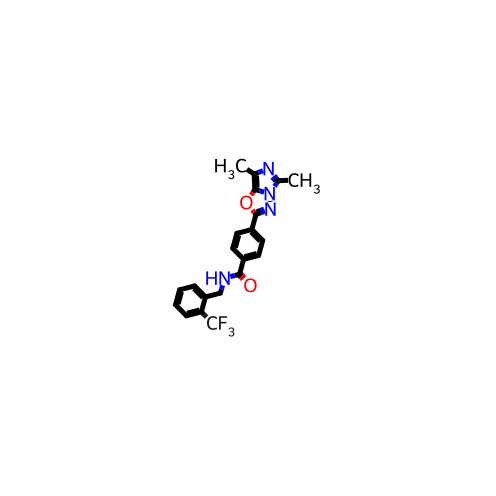 Cc1nc(C)n2nc(-c3ccc(C(=O)NCc4ccccc4C(F)(F)F)cc3)oc12